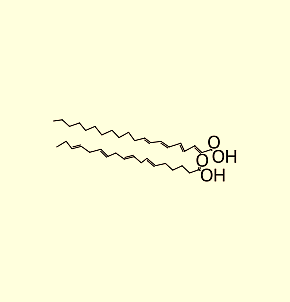 CCC=CCC=CCC=CCC=CCCCCC(=O)O.CCCCCCCCCCCC=CC=CC=CC=CC(=O)O